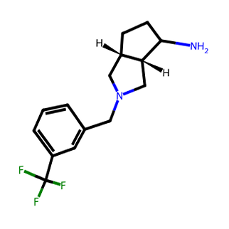 NC1CC[C@H]2CN(Cc3cccc(C(F)(F)F)c3)C[C@@H]12